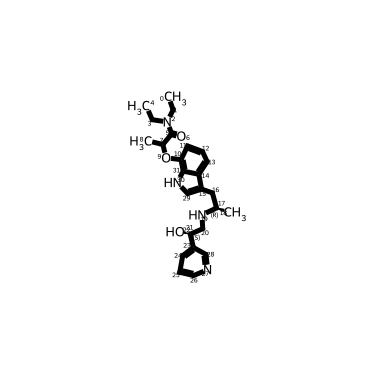 CCN(CC)C(=O)C(C)Oc1cccc2c(C[C@@H](C)NC[C@@H](O)c3cccnc3)c[nH]c12